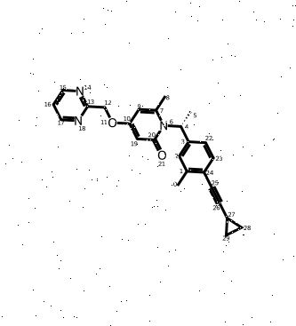 Cc1cc([C@@H](C)n2c(C)cc(OCc3ncccn3)cc2=O)ccc1C#CC1CC1